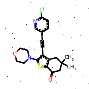 CC1(C)CC(=O)c2sc(N3CCOCC3)c(C#Cc3ccc(Cl)nc3)c2C1